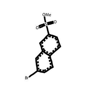 COS(=O)(=O)c1ccc2ccc(Br)cc2c1